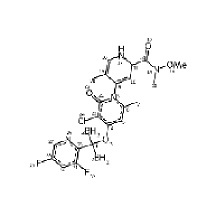 BC(B)(Oc1cc(C)n(C2=CC(C(=O)N(C)OC)NC=C2C)c(=O)c1Cl)c1ncc(F)cc1F